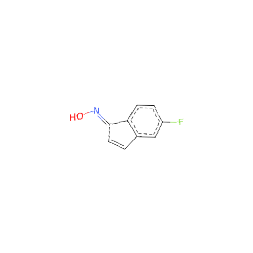 ON=C1C=Cc2cc(F)ccc21